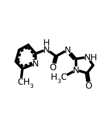 Cc1cccc(NC(=O)N=C2NCC(=O)N2C)n1